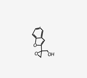 OCC1(c2cc3c[c]ccc3o2)CO1